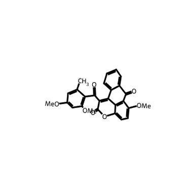 COc1cc(C)c(C(=O)c2c3c4c(c(OC)ccc4oc2=O)C(=O)c2ccccc2-3)c(OC)c1